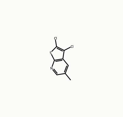 Cc1cnc2sc(Cl)c(Cl)c2c1